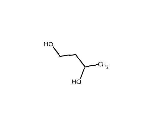 [CH2]C(O)C[CH]O